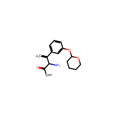 C=C(c1cccc(OC2CCCCO2)c1)C(N)C(=O)OC